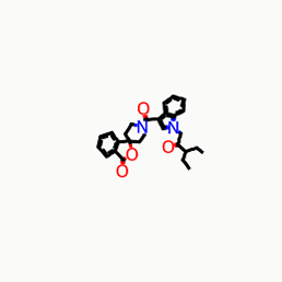 CCC(CC)C(=O)Cn1cc(C(=O)N2CCC3(CC2)OC(=O)c2ccccc23)c2ccccc21